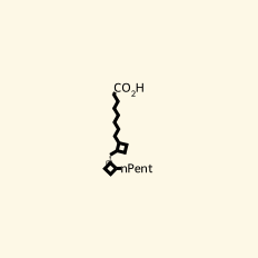 CCCCCC1CC[C@@H]1CC1CCC1CCCCCCCC(=O)O